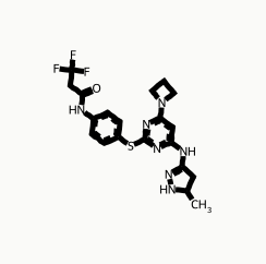 CC1CC(Nc2cc(N3CCC3)nc(Sc3ccc(NC(=O)CC(F)(F)F)cc3)n2)=NN1